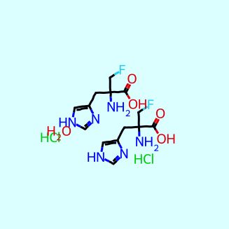 Cl.Cl.NC(CF)(Cc1c[nH]cn1)C(=O)O.NC(CF)(Cc1c[nH]cn1)C(=O)O.O